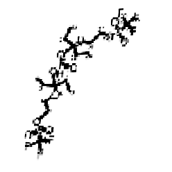 CCC(CC)(OCCOS(=O)(=O)C(F)(F)F)O[PH](=O)OC(CC)(CC)OCCOS(=O)(=O)C(F)(F)F